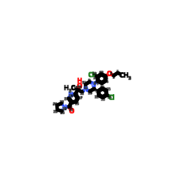 CCCOc1ccc(N2CCN(C[C@@](C)(O)c3ccc(C(=O)N4CCCC4)cn3)C[C@H]2c2ccc(Cl)cc2)c(Cl)c1